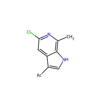 CC(=O)c1c[nH]c2c(C)nc(Cl)cc12